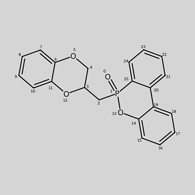 O=P1(CC2COc3ccccc3O2)Oc2ccccc2-c2ccccc21